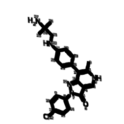 Cc1[nH]cc2c(=O)n(-c3ccc(Cl)cc3)nc-2c1-c1ccc(NCC(C)(C)N)cc1